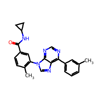 Cc1cccc(-c2ncnc3c2ncn3-c2cc(C(=O)NC3CC3)ccc2C)c1